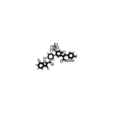 CCS(=O)(=O)Nc1cc2oc(-c3ccc(F)cc3)c(C(=O)NC)c2cc1[C@H]1CCCN(C(=O)c2[nH]c3c(F)cccc3c2C)C1